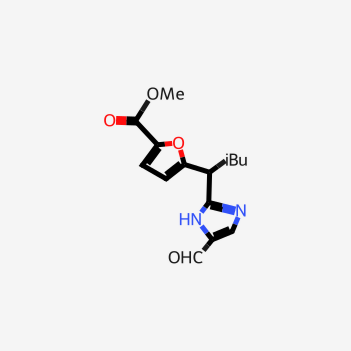 CCC(C)C(c1ncc(C=O)[nH]1)c1ccc(C(=O)OC)o1